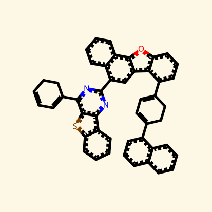 C1=CCCC(c2nc(-c3cc4c(oc5cccc(C6=CC=C(c7cccc8ccccc78)CC6)c54)c4ccccc34)nc3c2sc2ccccc23)=C1